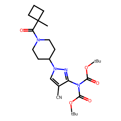 CC(C)(C)OC(=O)N(C(=O)OC(C)(C)C)c1nn(C2CCN(C(=O)C3(C)CCC3)CC2)cc1C#N